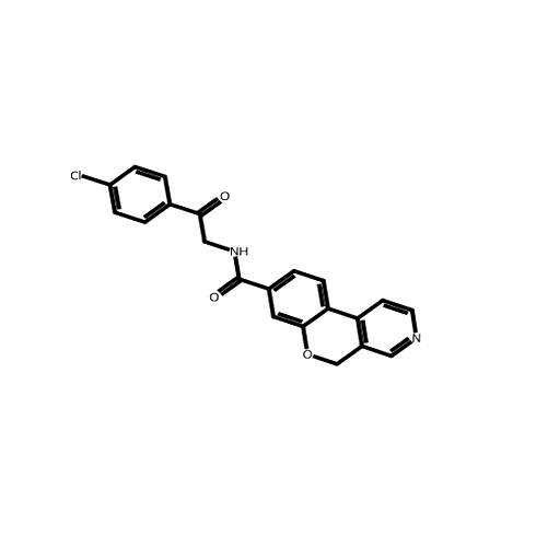 O=C(CNC(=O)c1ccc2c(c1)OCc1cnccc1-2)c1ccc(Cl)cc1